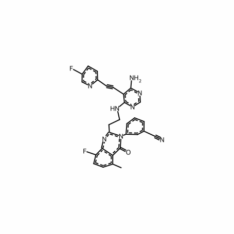 Cc1ccc(F)c2nc(CCNc3ncnc(N)c3C#Cc3ccc(F)cn3)n(-c3cccc(C#N)c3)c(=O)c12